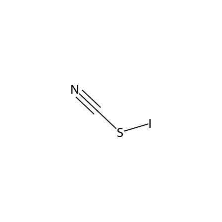 N#CSI